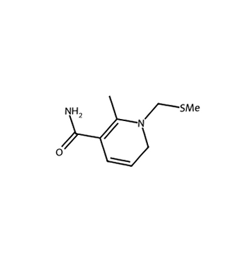 CSCN1CC=CC(C(N)=O)=C1C